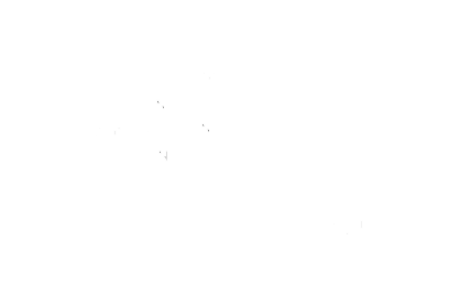 CCOC(=O)/C=C/c1cccc(-c2nc(C(Cl)(Cl)Cl)nc(C(Cl)(Cl)Cl)n2)c1